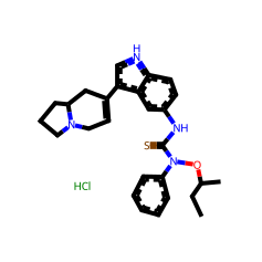 CCC(C)ON(C(=S)Nc1ccc2[nH]cc(C3=CCN4CCCC4C3)c2c1)c1ccccc1.Cl